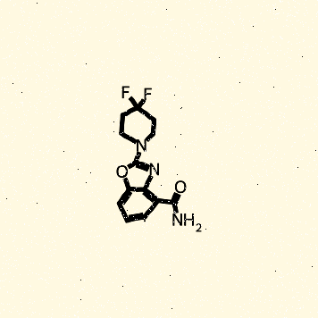 NC(=O)c1[c]ccc2oc(N3CCC(F)(F)CC3)nc12